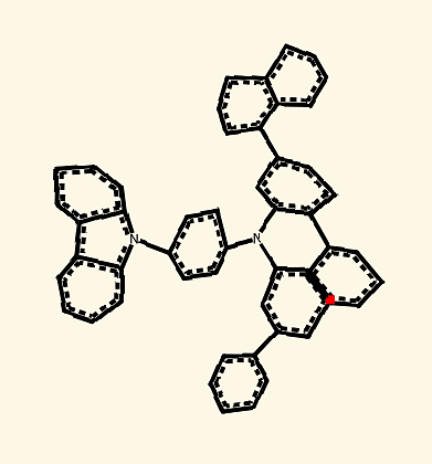 c1ccc(-c2cccc(N(c3ccc(-n4c5ccccc5c5ccccc54)cc3)c3cc(-c4cccc5ccccc45)ccc3-c3ccccc3)c2)cc1